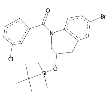 CC(C)(C)[Si](C)(C)OC1Cc2cc(Br)ccc2N(C(=O)c2cccc(Cl)c2)C1